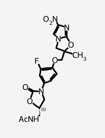 CC(=O)NC[C@H]1CN(c2ccc(OCC3(C)Cn4cc([N+](=O)[O-])nc4O3)c(F)c2)C(=O)O1